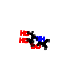 CC(C)C(=O)NC(CO)C(=O)O